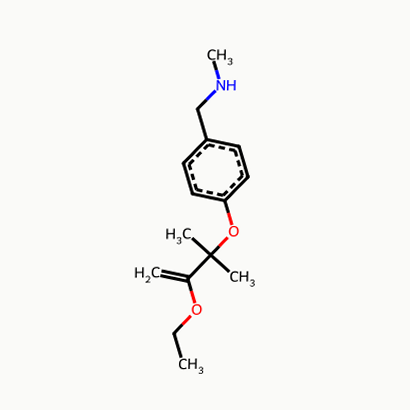 C=C(OCC)C(C)(C)Oc1ccc(CNC)cc1